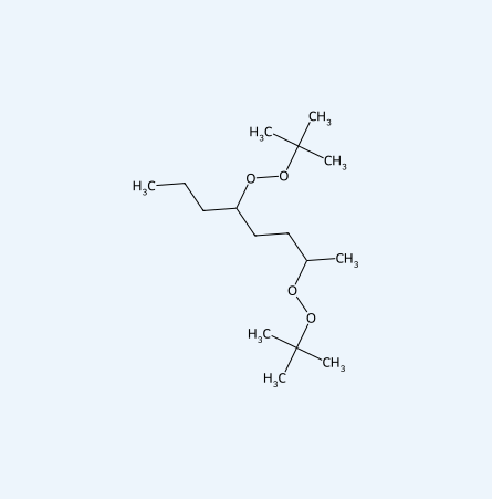 CCCC(CCC(C)OOC(C)(C)C)OOC(C)(C)C